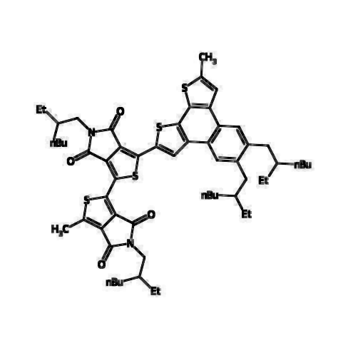 CCCCC(CC)Cc1cc2c(cc1CC(CC)CCCC)c1cc(-c3sc(-c4sc(C)c5c4C(=O)N(CC(CC)CCCC)C5=O)c4c3C(=O)N(CC(CC)CCCC)C4=O)sc1c1sc(C)cc21